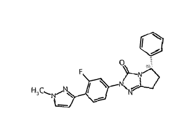 Cn1ccc(-c2ccc(-n3nc4n(c3=O)[C@H](c3ccccc3)CC4)cc2F)n1